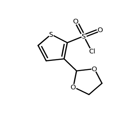 O=S(=O)(Cl)c1sccc1C1OCCO1